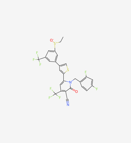 CC[S+]([O-])c1cc(-c2csc(-c3cc(C(F)(F)F)c(C#N)c(=O)n3Cc3ccc(F)cc3F)c2)cc(C(F)(F)F)c1